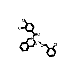 O=C(c1ccc(Cl)c(Cl)c1)N1Cc2ccccc2C[C@H]1COCc1ccccc1Cl